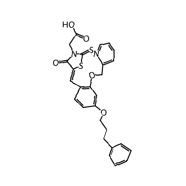 O=C(O)CN1C(=O)C(=Cc2ccc(OCCCc3ccccc3)cc2OCc2ccccn2)SC1=S